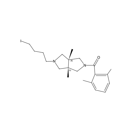 Cc1cccc(C)c1C(=O)N1C[C@]2(C)CN(CCCCI)C[C@]2(C)C1